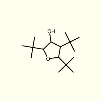 CC(C)(C)C1OC(C(C)(C)C)C(C(C)(C)C)C1O